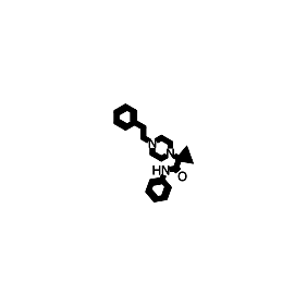 O=C(Nc1ccccc1)C1(N2CCN(CCc3ccccc3)CC2)CC1